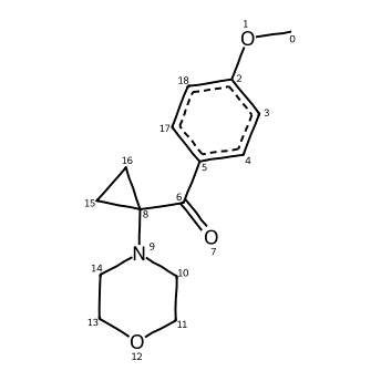 COc1ccc(C(=O)C2(N3CCOCC3)CC2)cc1